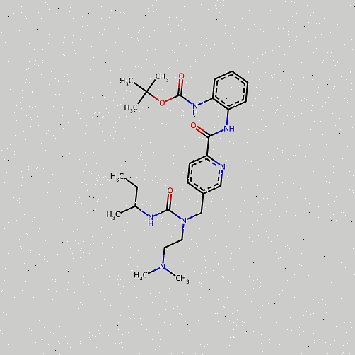 CCC(C)NC(=O)N(CCN(C)C)Cc1ccc(C(=O)Nc2ccccc2NC(=O)OC(C)(C)C)nc1